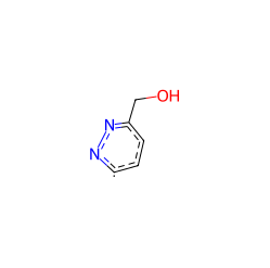 OCc1cc[c]nn1